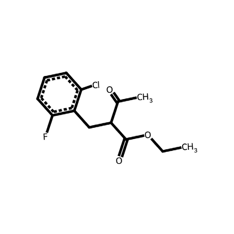 CCOC(=O)C(Cc1c(F)cccc1Cl)C(C)=O